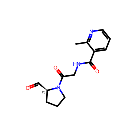 Cc1ncccc1C(=O)NCC(=O)N1CCC[C@H]1C=O